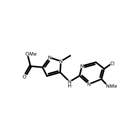 CNc1nc(Nc2cc(C(=O)OC)nn2C)ncc1Cl